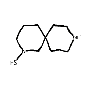 SN1CCCC2(CCNCC2)C1